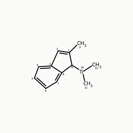 CC1=Cc2ccccc2[CH]1[Ti]([CH3])[CH3]